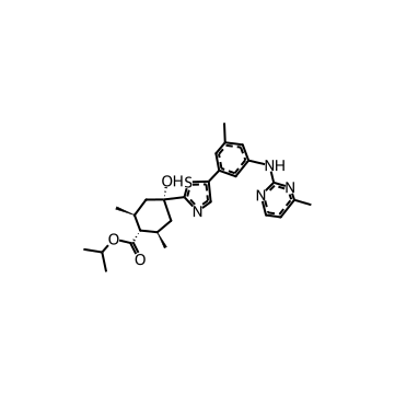 Cc1cc(Nc2nccc(C)n2)cc(-c2cnc([C@@]3(O)C[C@@H](C)[C@H](C(=O)OC(C)C)[C@@H](C)C3)s2)c1